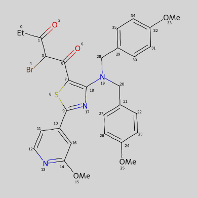 CCC(=O)C(Br)C(=O)c1sc(-c2ccnc(OC)c2)nc1N(Cc1ccc(OC)cc1)Cc1ccc(OC)cc1